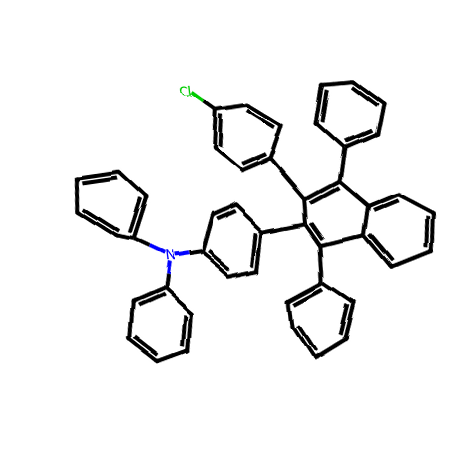 Clc1ccc(-c2c(-c3ccc(N(c4ccccc4)c4ccccc4)cc3)c(-c3ccccc3)c3ccccc3c2-c2ccccc2)cc1